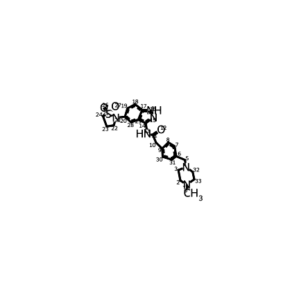 CN1CCN(Cc2ccc(CC(=O)Nc3n[nH]c4ccc(N5CCCS5(=O)=O)cc34)cc2)CC1